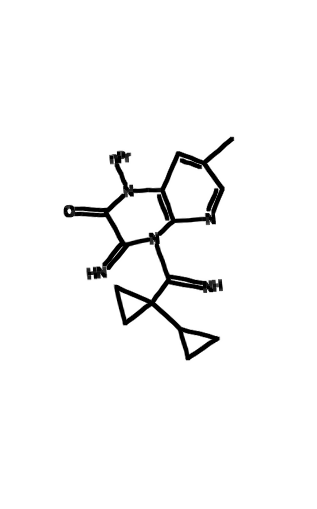 CCCn1c(=O)c(=N)n(C(=N)C2(C3CC3)CC2)c2ncc(C)cc21